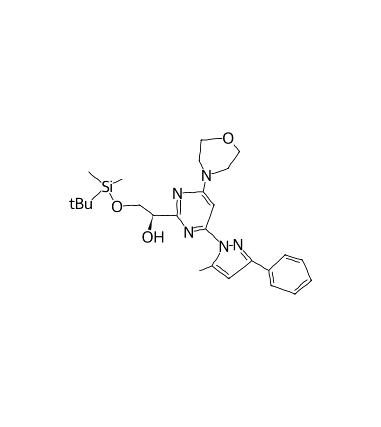 Cc1cc(-c2ccccc2)nn1-c1cc(N2CCOCC2)nc([C@@H](O)CO[Si](C)(C)C(C)(C)C)n1